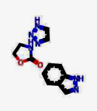 O=C1NCCO1.c1c[nH]nn1.c1ccc2[nH]ncc2c1